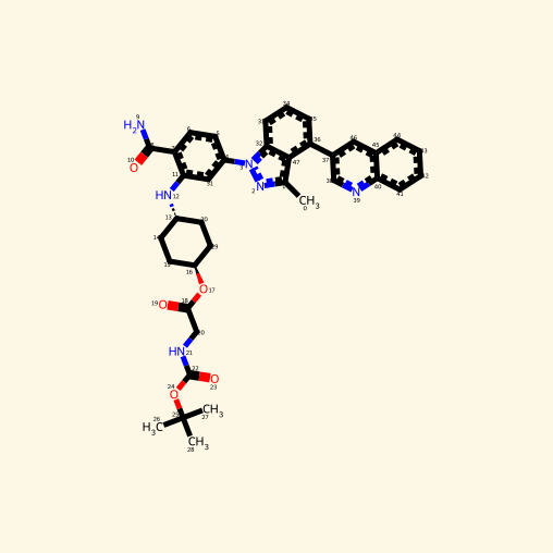 Cc1nn(-c2ccc(C(N)=O)c(N[C@H]3CC[C@H](OC(=O)CNC(=O)OC(C)(C)C)CC3)c2)c2cccc(-c3cnc4ccccc4c3)c12